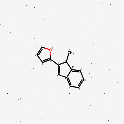 C[C]1C(c2ccco2)=Cc2ccccc21